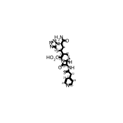 NC(=O)CCC(Sc1nnn[nH]1)C1=C(C(=O)O)N2C(=O)C(NC(=S)Cc3ccncc3)[C@@H]2SC1